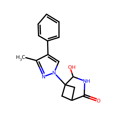 Cc1nn(C23CC(C2)C(=O)NC3O)cc1-c1ccccc1